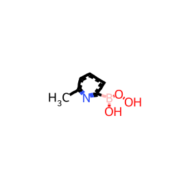 Cc1cccc(B(O)OO)n1